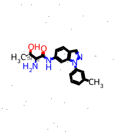 Cc1cccc(-n2ncc3ccc(NC(=O)[C@@H](N)[C@H](C)O)cc32)c1